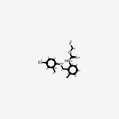 CCc1ccc(OCc2c(C)cccc2NC(=S)OCF)c(C)c1